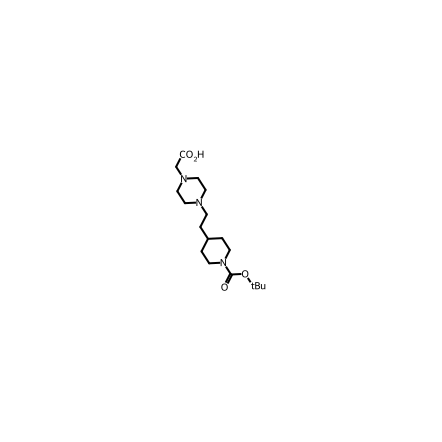 CC(C)(C)OC(=O)N1CCC(CCN2CCN(CC(=O)O)CC2)CC1